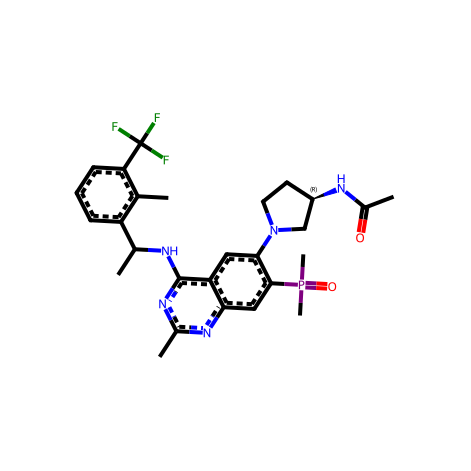 CC(=O)N[C@@H]1CCN(c2cc3c(NC(C)c4cccc(C(F)(F)F)c4C)nc(C)nc3cc2P(C)(C)=O)C1